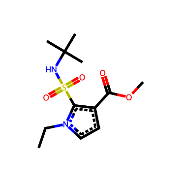 CCn1ccc(C(=O)OC)c1S(=O)(=O)NC(C)(C)C